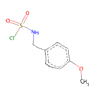 COc1ccc(CNS(=O)(=O)Cl)cc1